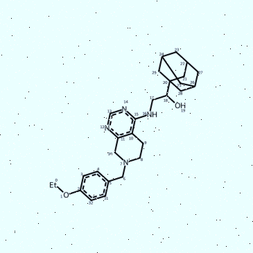 CCOc1ccc(CN2CCc3c(ncnc3NCC(O)C34CC5CC(CC(C5)C3)C4)C2)cc1